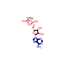 COP(=O)(O)OP(=O)(O)OC[C@H]1O[C@@H](n2cnc3c(N)ncnc32)C(O)C1O